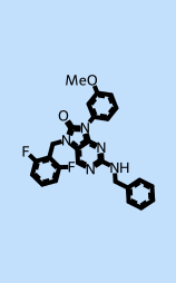 COc1cccc(-n2c(=O)n(Cc3c(F)cccc3F)c3cnc(NCc4ccccc4)nc32)c1